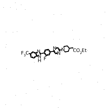 CCOC(=O)CC1CCN(c2cnc(-c3ccc(-c4nc5cc(C(F)(F)F)ccc5[nH]4)c(F)c3)cn2)CC1